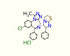 Cc1nnc2n1-c1ccc(Cl)cc1C(c1ccccc1)=NC2.Cl.c1ccc(C2CN3CCSC3=N2)cc1